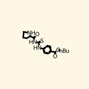 CCCCOC(=O)c1ccc(NC(=S)NC(=O)C2CCCN2)cc1